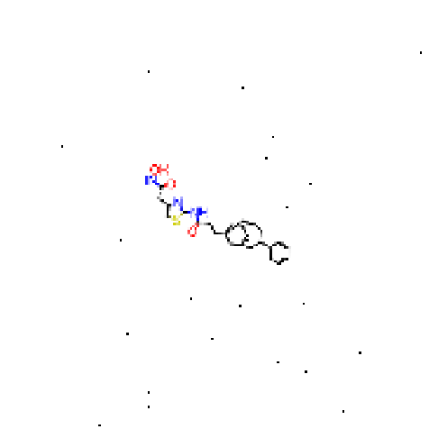 O=C(Cc1csc(NC(=O)CCC23CC4CC(c5ccccc5)CC(C2)C(C4)C3)n1)NO